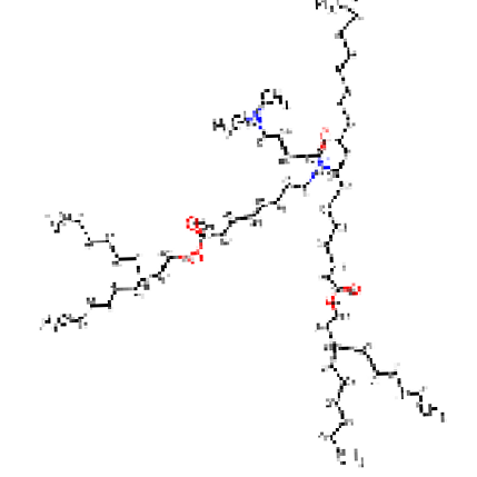 CCCCCCCCCCC(CCCCCCC(=O)OCCC(CCCCCC)CCCCCC)N(CCCCCCCC(=O)OCCC(CCCCCC)CCCCCC)C(=O)CCCN(C)C